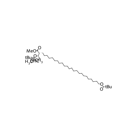 COC(=O)[C@H](CCCCCCCCCCCCCCCCCCCCCCCCOC(=O)C(C)(C)C)[C@@H](CC=O)O[Si](C)(C)C(C)(C)C